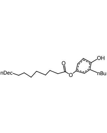 CCCCCCCCCCCCCCCCCC(=O)Oc1ccc(O)c(CCCC)c1